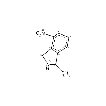 CC1NCc2c1cccc2[N+](=O)[O-]